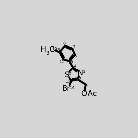 CC(=O)OCc1nc(-c2cccc(C)c2)sc1Br